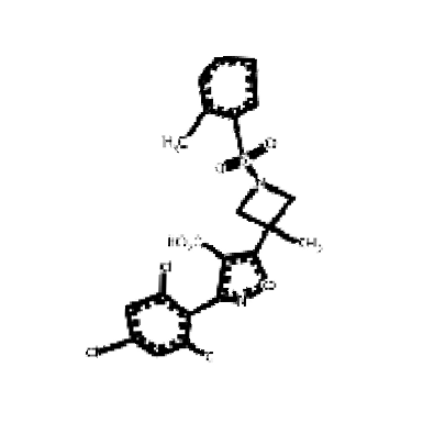 Cc1ccccc1S(=O)(=O)N1CC(C)(c2onc(-c3c(Cl)cc(Cl)cc3Cl)c2C(=O)O)C1